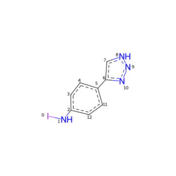 INc1ccc(-c2c[nH]nn2)cc1